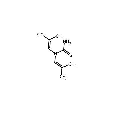 CC(=CN(C=C(C)C(F)(F)F)C(N)=S)C(F)(F)F